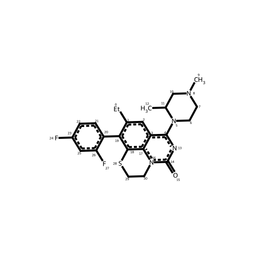 CCc1cc2c(N3CCN(C)CC3C)nc(=O)n3c2c(c1-c1ccc(F)cc1F)SCC3